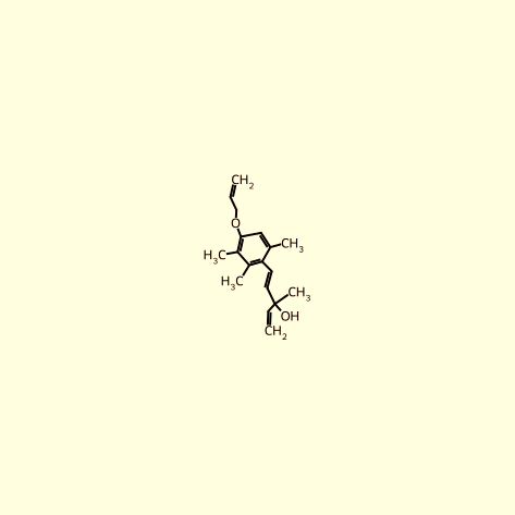 C=CCOc1cc(C)c(C=CC(C)(O)C=C)c(C)c1C